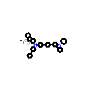 CC1(C)C2=C(CCC=C2)c2ccc(N(c3ccc(-c4ccccc4)cc3)c3ccc(-c4ccc(-c5ccc6c(c5)c5ccccc5n6C5=CC=CC=CC5)cc4)cc3)cc21